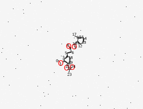 COc1cc(C=CC(=O)OCc2ccccc2C)ccc1OC(C)=O